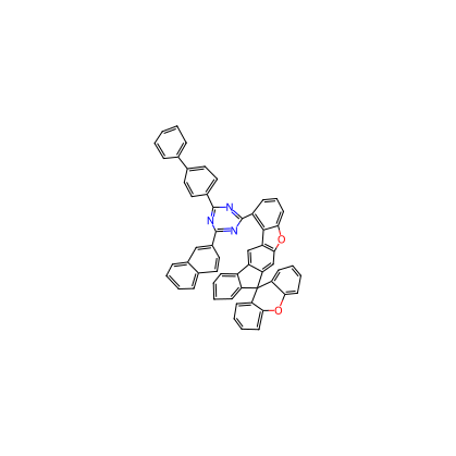 c1ccc(-c2ccc(-c3nc(-c4ccc5ccccc5c4)nc(-c4cccc5oc6cc7c(cc6c45)-c4ccccc4C74c5ccccc5Oc5ccccc54)n3)cc2)cc1